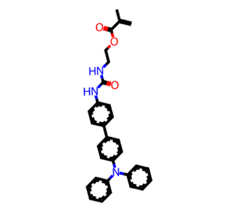 C=C(C)C(=O)OCCNC(=O)Nc1ccc(-c2ccc(N(c3ccccc3)c3ccccc3)cc2)cc1